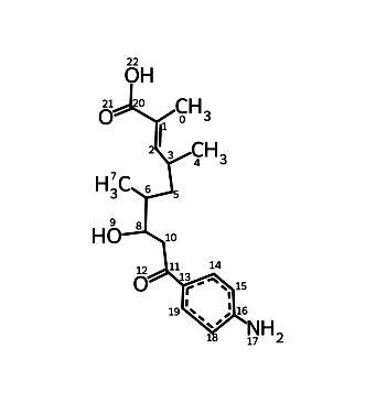 C/C(=C\C(C)CC(C)C(O)CC(=O)c1ccc(N)cc1)C(=O)O